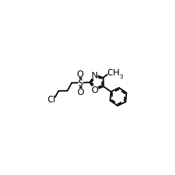 Cc1nc(S(=O)(=O)CCCCl)oc1-c1ccccc1